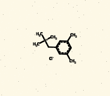 Cc1cc(C)cc(C[N+](C)(C)C)c1.[Cl-]